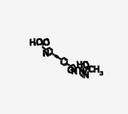 C[C@H](O)c1nccn1CC1=NOC(c2ccc(C#Cc3ccc(CC(=O)O)nc3)cc2)C1